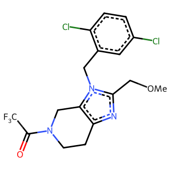 COCc1nc2c(n1Cc1cc(Cl)ccc1Cl)CN(C(=O)C(F)(F)F)CC2